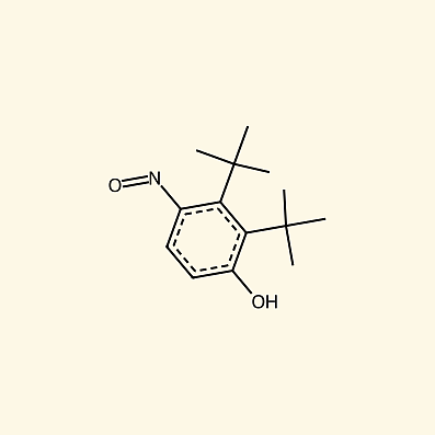 CC(C)(C)c1c(O)ccc(N=O)c1C(C)(C)C